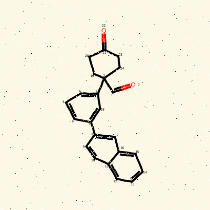 O=CC1(c2cccc(-c3ccc4ccccc4c3)c2)CCC(=O)CC1